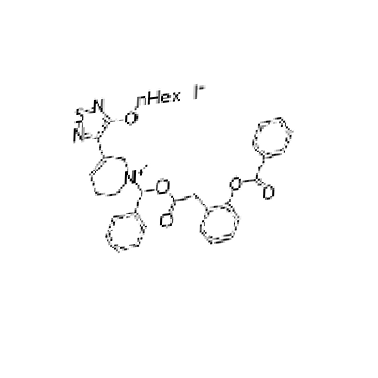 CCCCCCOc1nsnc1C1=CCC[N+](C)(C(OC(=O)Cc2ccccc2OC(=O)c2ccccc2)c2ccccc2)C1.[I-]